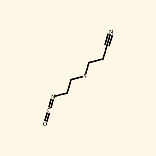 N#CCCSCCN=C=O